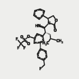 CC(C)C[C@@H](C(=N)N1C(=O)OCC1c1ccccc1)c1cc(OS(=O)(=O)C(F)(F)F)cc(-c2ccc(CF)cc2)c1